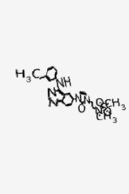 CCc1cccc(Nc2ncnc3ccc(-n4ccn(CCN(C)S(C)(=O)=O)c4=O)cc23)c1